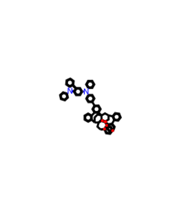 c1ccc(N(c2ccc(-c3ccc4c(c3)-c3ccccc3C3CCC45CC4CC6(CCC7CC3(c3ccccc3-c3ccccc37)C65)c3ccccc3-c3ccccc34)cc2)c2ccc3c(c2)c2ccccc2n3-c2ccccc2)cc1